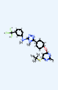 [2H]N(c1cccc(C(F)(F)F)c1)c1nnc(-c2ccc(Oc3cc(SC([2H])([2H])[2H])nc(C)n3)cc2)n1[2H]